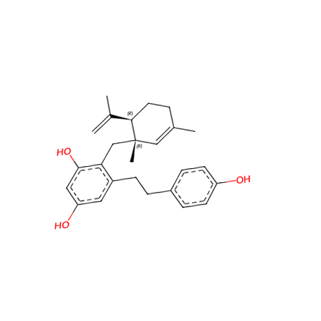 C=C(C)[C@H]1CCC(C)=C[C@]1(C)Cc1c(O)cc(O)cc1CCc1ccc(O)cc1